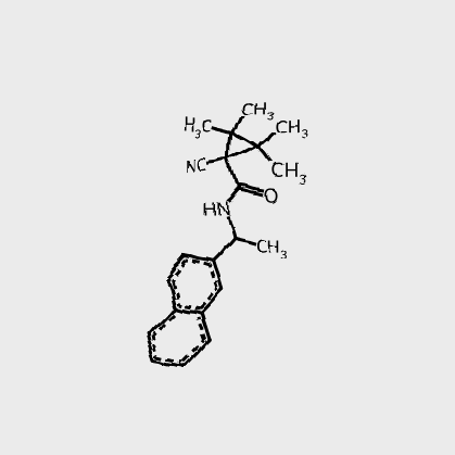 CC(NC(=O)C1(C#N)C(C)(C)C1(C)C)c1ccc2ccccc2c1